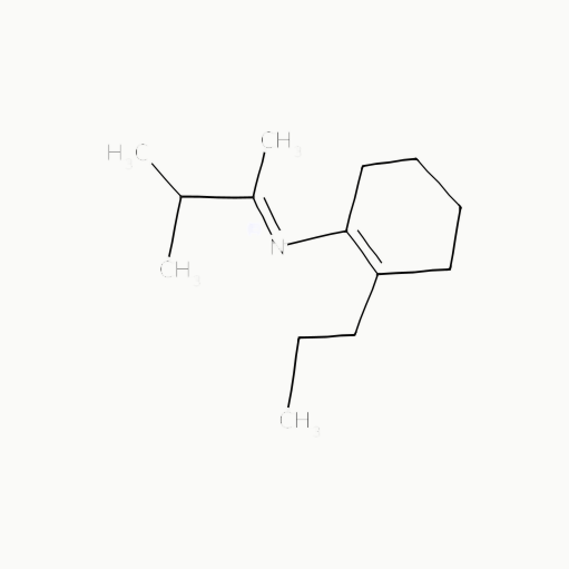 CCCC1=C(/N=C(\C)C(C)C)CCCC1